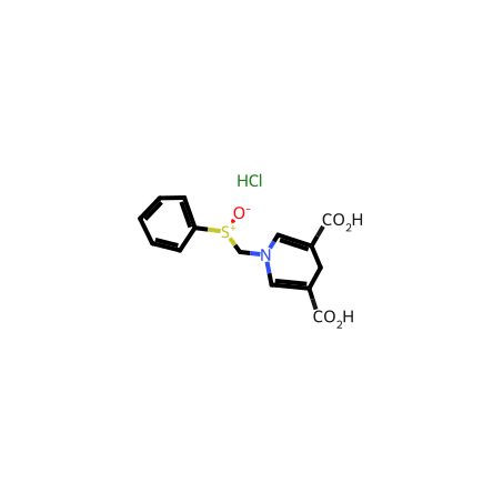 Cl.O=C(O)C1=CN(C[S@@+]([O-])c2ccccc2)C=C(C(=O)O)C1